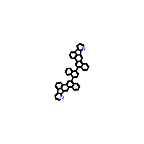 c1cnc2c(c1)-c1cccc3c1c-2cc1c2ccccc2c(-c2ccc(-c4cc5c6cccc7c6c(cc5c5ccccc45)-c4ncccc4-7)c4ccccc24)cc31